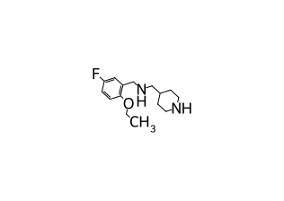 CCOc1ccc(F)cc1CNCC1CCNCC1